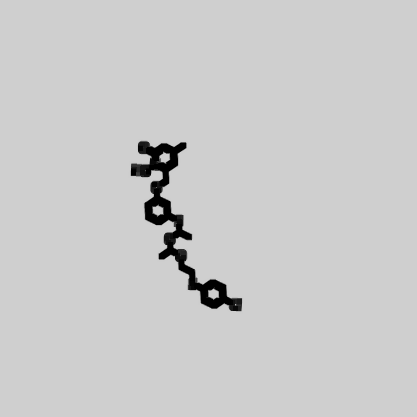 Cc1cc(COc2cccc(SC(C)OC(C)OCCSc3ccc(Cl)cc3)c2)n(O)c(=O)c1